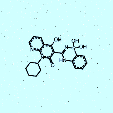 O=c1c(C2=NS(O)(O)c3ccccc3N2)c(O)c2cccnc2n1C1CCCCC1